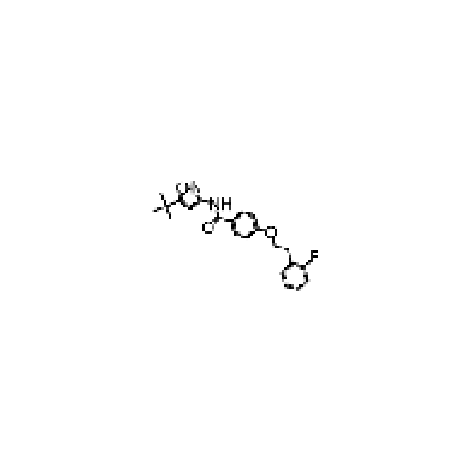 CC(C)(C)c1cc(NC(=O)c2ccc(OCCc3ccccc3F)cc2)no1